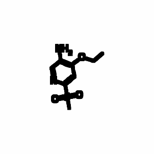 CCOc1cc(S(C)(=O)=O)ncc1N